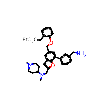 CCOC(=O)Cc1ccccc1OCc1cc(-c2cccc(CN)c2)c2oc(CN(C)C3CCN(C)CC3)cc2c1